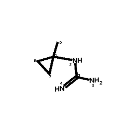 CC1(NC(=N)N)CC1